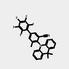 Cc1cc(-c2c(F)c(F)c(F)c(F)c2F)cc(C#N)c1N1c2ccccc2C(C)(C)c2ccccc21